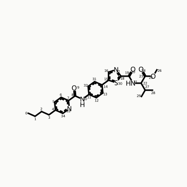 CCCCc1ccc(C(=O)Nc2ccc(-c3cnc(C(=O)NC(C(=O)OC)C(C)C)s3)cc2)nc1